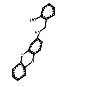 Oc1ccccc1CNc1ccc2c(c1)Oc1ccccc1O2